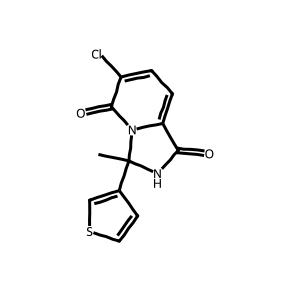 CC1(c2ccsc2)NC(=O)c2ccc(Cl)c(=O)n21